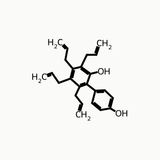 C=CCc1c(O)c(-c2ccc(O)cc2)c(CC=C)c(CC=C)c1CC=C